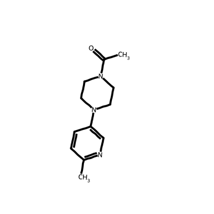 CC(=O)N1CCN(c2ccc(C)nc2)CC1